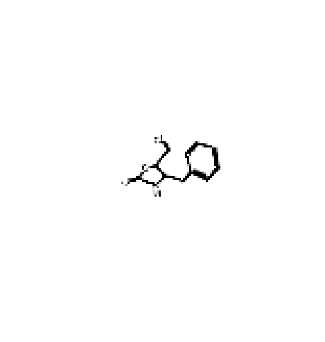 O=C1NC(Cc2ccccc2)C(CCl)O1